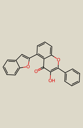 O=c1c(O)c(-c2ccccc2)oc2cccc(-c3cc4ccccc4o3)c12